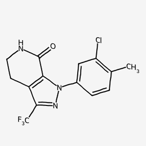 Cc1ccc(-n2nc(C(F)(F)F)c3c2C(=O)NCC3)cc1Cl